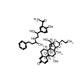 CC(CCc1ccccc1)NCC(O)c1ccc(O)c(C(N)=O)c1.CCC[C@@H]1O[C@@H]2C[C@H]3[C@@H]4CCC5=CC(=O)C=C[C@]5(C)[C@H]4[C@@H](O)C[C@]3(C)[C@]2(C(=O)CO)O1